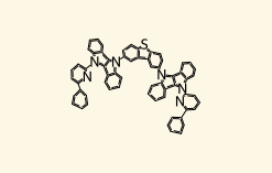 c1ccc(-c2cccc(-n3c4ccccc4c4c3c3ccccc3n4-c3ccc4sc5ccc(-n6c7ccccc7c7c6c6ccccc6n7-c6cccc(-c7ccccc7)n6)cc5c4c3)n2)cc1